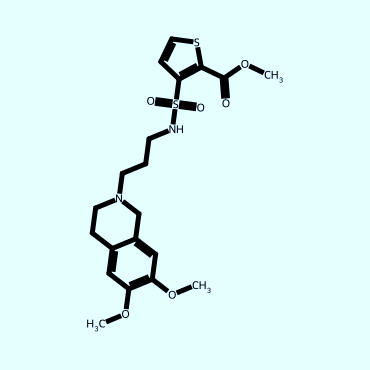 COC(=O)c1sccc1S(=O)(=O)NCCCN1CCc2cc(OC)c(OC)cc2C1